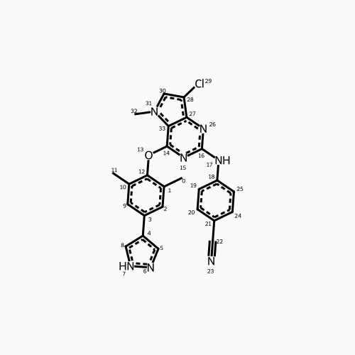 Cc1cc(-c2cn[nH]c2)cc(C)c1Oc1nc(Nc2ccc(C#N)cc2)nc2c(Cl)cn(C)c12